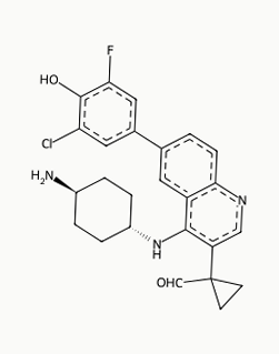 N[C@H]1CC[C@H](Nc2c(C3(C=O)CC3)cnc3ccc(-c4cc(F)c(O)c(Cl)c4)cc23)CC1